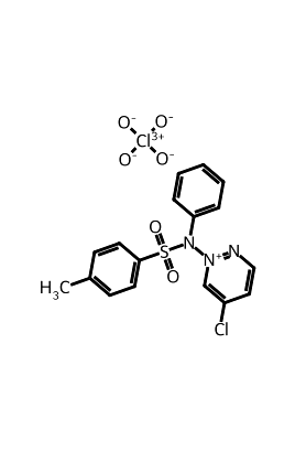 Cc1ccc(S(=O)(=O)N(c2ccccc2)[n+]2cc(Cl)ccn2)cc1.[O-][Cl+3]([O-])([O-])[O-]